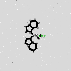 C[SiH]=[Zr+2]([CH]1CCC2C=CC=CC21)[CH]1CCC2C=CC=CC21.[Cl-].[Cl-]